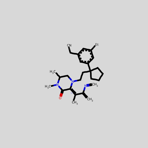 C=NC(=C)/C(C)=C1/C(=O)N(C)C(C)CN1CCC1(c2cc(CC)cc(CC#N)c2)CCCC1